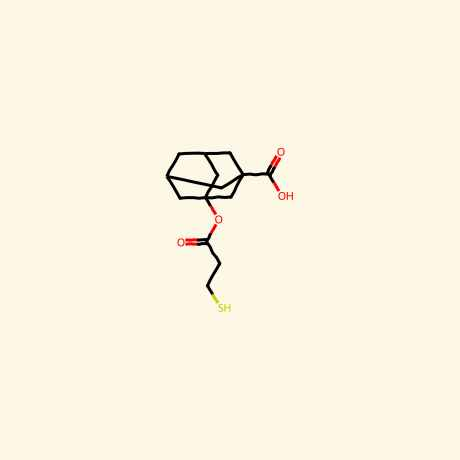 O=C(CCS)OC12CC3CC(C1)CC(C(=O)O)(C3)C2